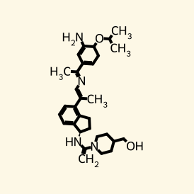 C=C(N[C@H]1CCc2c(/C(C)=C/N=C(\C)C3=CCC(OC(C)C)C(N)=C3)cccc21)N1CCC(CO)CC1